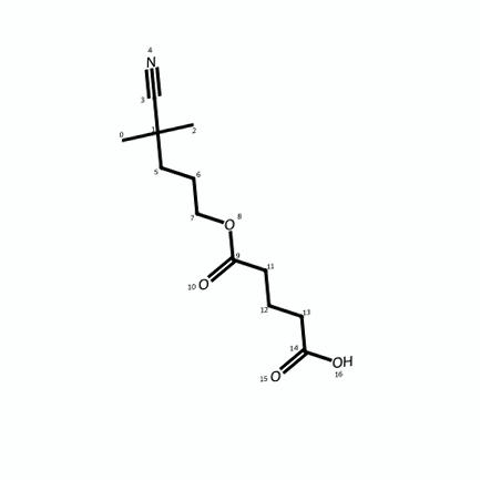 CC(C)(C#N)CCCOC(=O)CCCC(=O)O